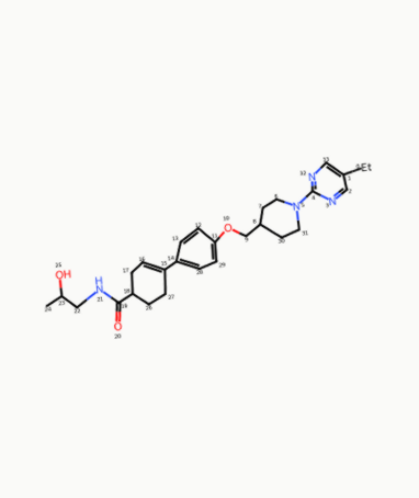 CCc1cnc(N2CCC(COc3ccc(C4=CCC(C(=O)NCC(C)O)CC4)cc3)CC2)nc1